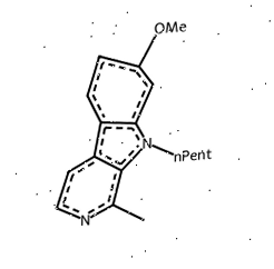 CCCCCn1c2cc(OC)ccc2c2ccnc(C)c21